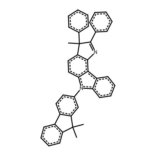 CC1(C)c2ccccc2-c2ccc(-n3c4ccccc4c4c5c(ccc43)C(C)(c3ccccc3)C(c3ccccc3)=N5)cc21